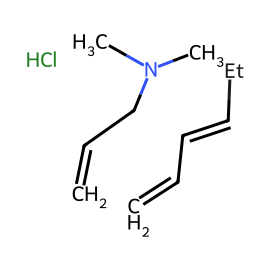 C=CC=CCC.C=CCN(C)C.Cl